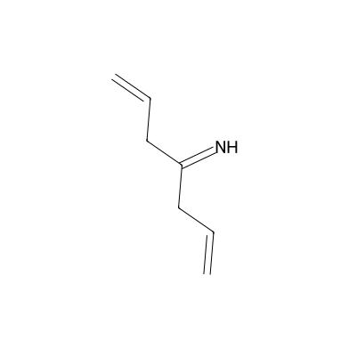 C=CCC(=N)CC=C